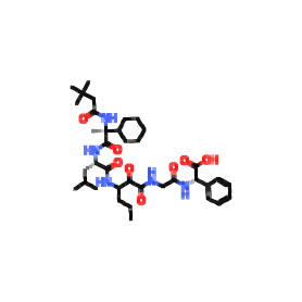 CCCC(NC(=O)[C@H](CC(C)C)NC(=O)[C@@](C)(NC(=O)CC(C)(C)C)C1CCCCC1)C(=O)C(=O)NCC(=O)N[C@H](C(=O)O)c1ccccc1